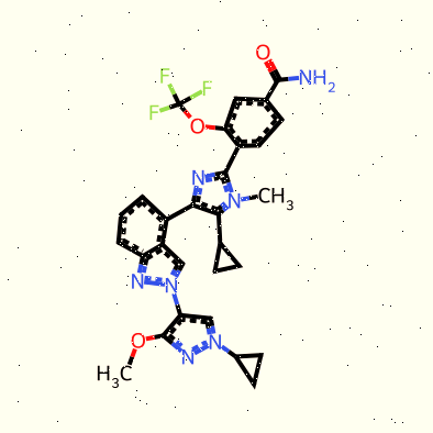 COc1nn(C2CC2)cc1-n1cc2c(-c3nc(-c4ccc(C(N)=O)cc4OC(F)(F)F)n(C)c3C3CC3)cccc2n1